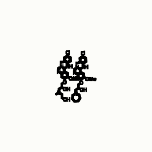 COc1cc2c(Nc3ccc(Cl)cc3F)ncnc2cc1OCC(O)CN(C)CCO.COc1cc2c(Nc3ccc(Cl)cc3F)ncnc2cc1OCC(O)CN1CCCCCC1